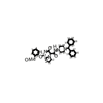 COc1ccccc1OC[C@H]1SCCN1[C@@H](C(N)=O)C(=O)NN1CCN(C(c2ccccc2)c2ccccc2)CC1